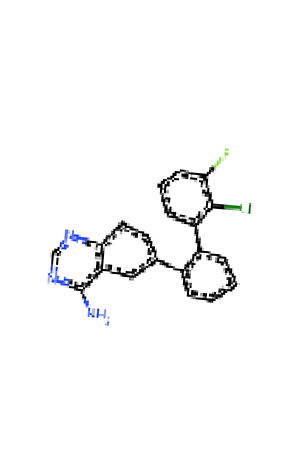 Nc1ncnc2ccc(-c3ccccc3-c3cccc(F)c3Cl)cc12